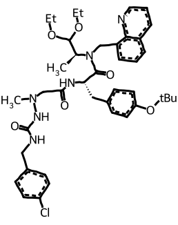 CCOC(OCC)[C@H](C)N(Cc1cccc2cccnc12)C(=O)[C@H](Cc1ccc(OC(C)(C)C)cc1)NC(=O)CN(C)NC(=O)NCc1ccc(Cl)cc1